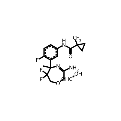 CC1(c2cc(NC(=O)C3(C(F)(F)F)CC3)ccc2F)N=C(N)COCC1(F)F.O=CO